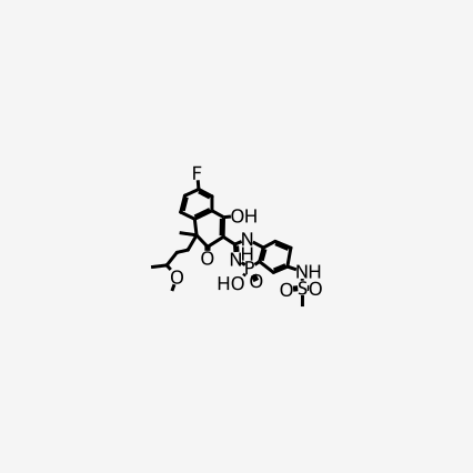 COC(C)CCC1(C)C(=O)C(C2=NP(=O)(O)c3cc(NS(C)(=O)=O)ccc3N2)=C(O)c2cc(F)ccc21